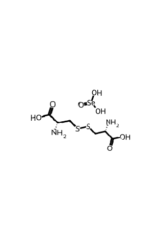 N[C@@H](CSSC[C@H](N)C(=O)O)C(=O)O.O=[Se](O)O